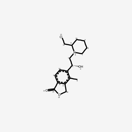 Cc1c([C@@H](O)CN2CCCCC2CCl)ccc2c1COC2=O